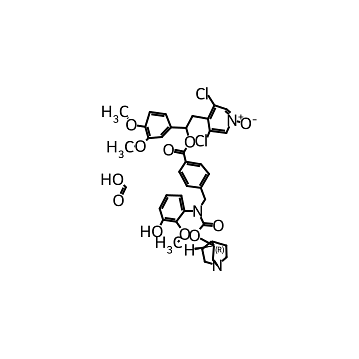 COc1ccc(C(Cc2c(Cl)c[n+]([O-])cc2Cl)OC(=O)c2ccc(CN(C(=O)O[C@H]3CN4CCC3CC4)c3cccc(O)c3OC)cc2)cc1OC.O=CO